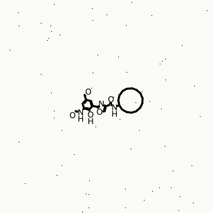 O=CNc1cc(C=O)cc(-c2nc(C(=O)NC3CCCCCCCCCCCCCC3)co2)c1O